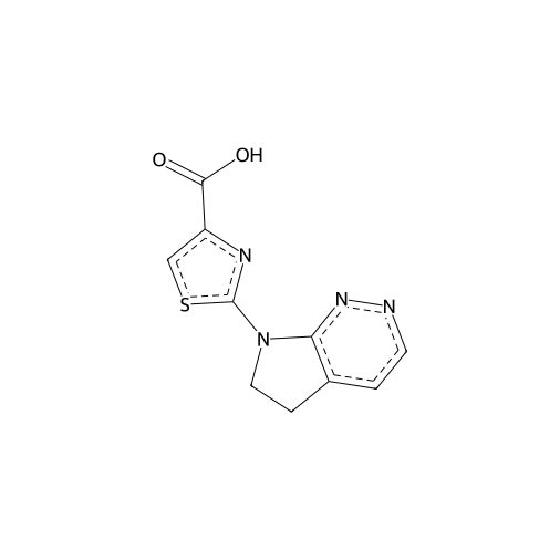 O=C(O)c1csc(N2CCc3ccnnc32)n1